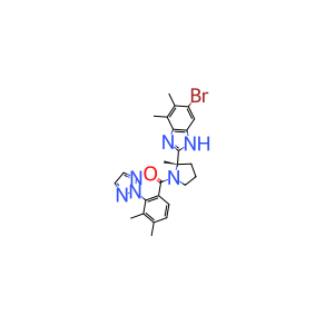 Cc1ccc(C(=O)N2CCC[C@@]2(C)c2nc3c(C)c(C)c(Br)cc3[nH]2)c(-n2nccn2)c1C